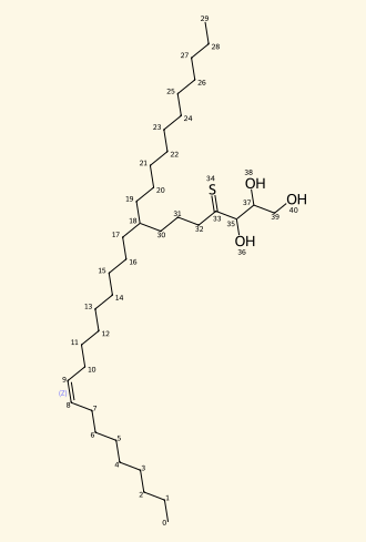 CCCCCCCC/C=C\CCCCCCCCC(CCCCCCCCCCC)CCCC(=S)C(O)C(O)CO